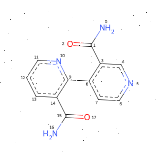 NC(=O)c1cnccc1-c1ncccc1C(N)=O